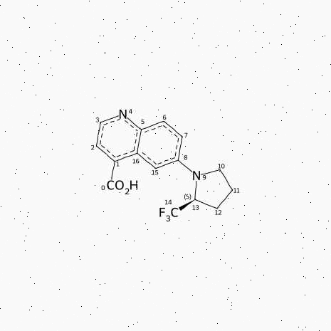 O=C(O)c1ccnc2ccc(N3CCC[C@H]3C(F)(F)F)cc12